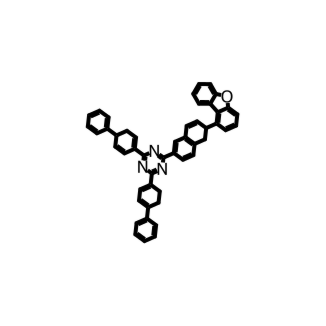 C1=CC(c2ccccc2)CC=C1c1nc(C2=CC=C(c3ccccc3)CC2)nc(-c2ccc3c(c2)C=CC(c2cccc4oc5ccccc5c24)C3)n1